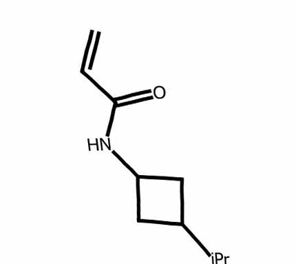 C=CC(=O)NC1CC(C(C)C)C1